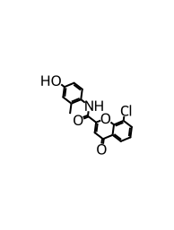 Cc1cc(O)ccc1NC(=O)c1cc(=O)c2cccc(Cl)c2o1